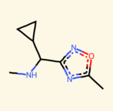 CNC(c1noc(C)n1)C1CC1